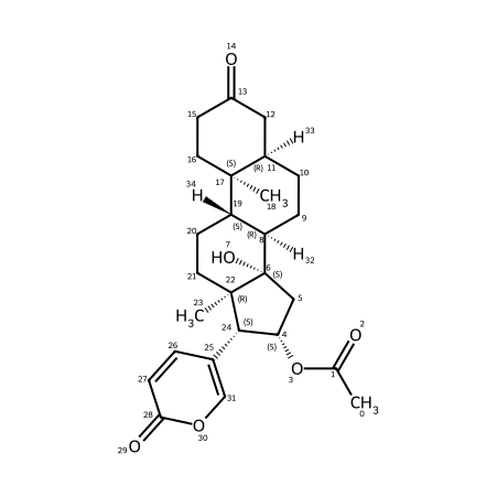 CC(=O)O[C@H]1C[C@]2(O)[C@@H]3CC[C@@H]4CC(=O)CC[C@]4(C)[C@H]3CC[C@]2(C)[C@H]1c1ccc(=O)oc1